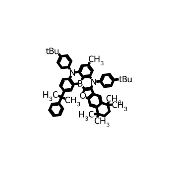 Cc1cc2c3c(c1)N(C1C=CC(C(C)(C)C)=CC1)c1ccc(C(C)(C)c4ccccc4)cc1B3c1oc3cc4c(cc3c1N2c1ccc(C(C)(C)C)cc1)C(C)(C)CCC4(C)C